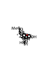 COC(=O)CC[C@@H](C)[C@H]1CC[C@H]2[C@@H]3[C@H](OC(=O)NC(C)C)C[C@@H]4C[C@H](O)CC[C@]4(C)[C@H]3C[C@H](O)[C@]12C